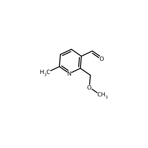 COCc1nc(C)ccc1C=O